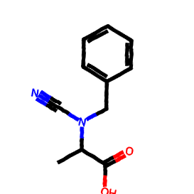 CC(C(=O)O)N(C#N)Cc1ccccc1